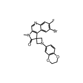 CN1C(=O)C2(CN(c3ccc4c(c3)OCCO4)C2)c2c1cnc1cc(F)c(Br)cc21